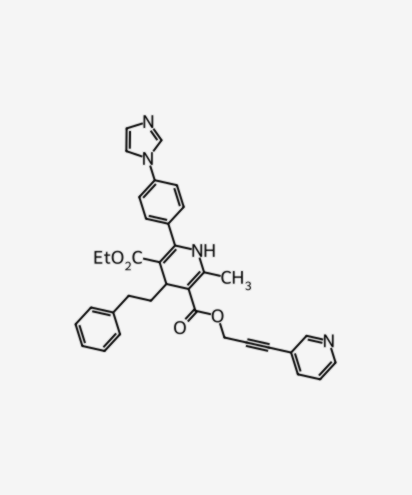 CCOC(=O)C1=C(c2ccc(-n3ccnc3)cc2)NC(C)=C(C(=O)OCC#Cc2cccnc2)C1CCc1ccccc1